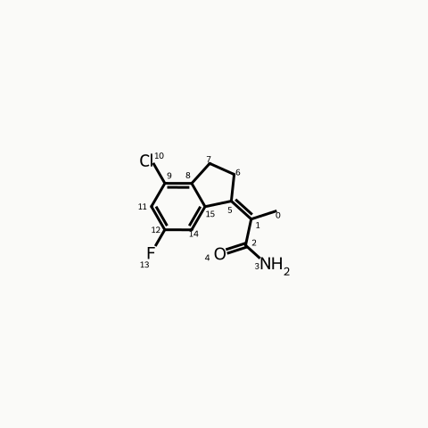 CC(C(N)=O)=C1CCc2c(Cl)cc(F)cc21